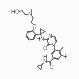 Cc1c(F)cc(C(=O)NC2CC2)cc1-n1ccnc(NC2(c3ccccc3OCCN(C)CCO)CC2)c1=O